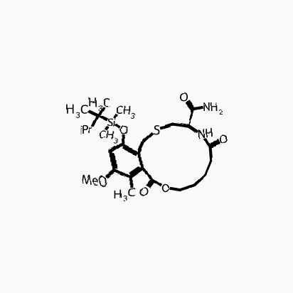 COc1cc(O[Si](C)(C)C(C)(C)C(C)C)c2c(c1C)C(=O)OCCCCC(=O)N[C@H](C(N)=O)CSC2